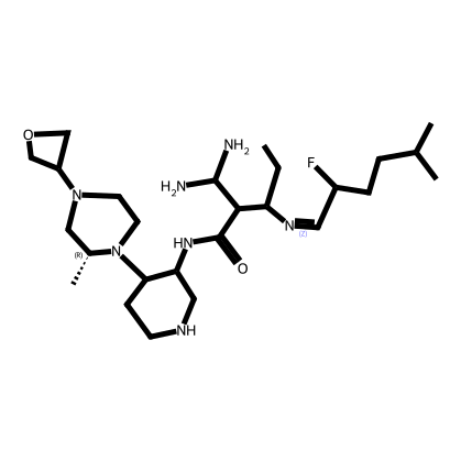 CCC(/N=C\C(F)CCC(C)C)C(C(=O)NC1CNCCC1N1CCN(C2COC2)C[C@H]1C)C(N)N